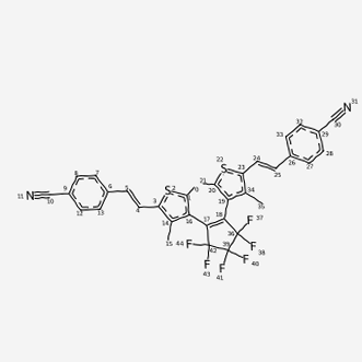 Cc1sc(C=Cc2ccc(C#N)cc2)c(C)c1C1=C(c2c(C)sc(C=Cc3ccc(C#N)cc3)c2C)C(F)(F)C(F)(F)C1(F)F